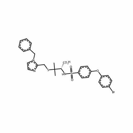 CC(C)(SCc1nccn1Cc1ccccc1)[C@@H](NS(=O)(=O)c1ccc(Oc2ccc(Br)cc2)cc1)C(=O)O